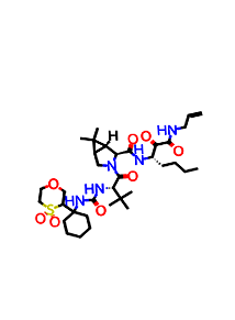 C=CCNC(=O)C(=O)[C@H](CCCC)NC(=O)[C@@H]1[C@@H]2C(CN1C(=O)[C@@H](NC(=O)NC1(C3COCCS3(=O)=O)CCCCC1)C(C)(C)C)C2(C)C